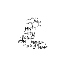 CCC12CC[C@H](C(=O)NC3CCCc4ccccc43)N1C(=O)[C@@H](NC(=O)[C@H](N)NC)CCCN2C(C)=O